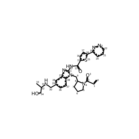 C=CC(=O)N1CCCC1Cn1c(NC(=O)c2ccc(-c3cccnn3)s2)nc2cc(CNC(C)CO)ccc21